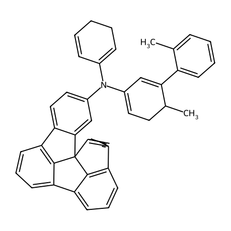 Cc1ccccc1C1=CC(N(C2=CCCC=C2)c2ccc3c(c2)C24C5=C(C=CCC5)c5cccc(c52)-c2cccc-3c24)=CCC1C